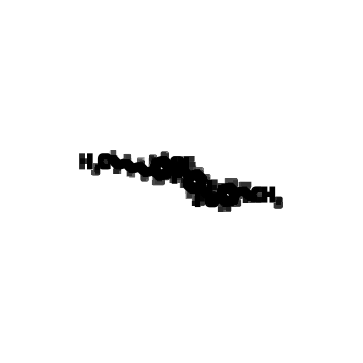 CCCCCCCc1ccc(OC(F)(F)c2ccc(C(F)(F)Oc3ccc(CCC)cc3)cc2)cc1